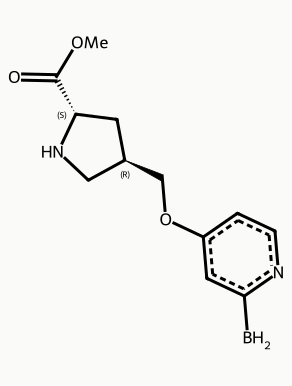 Bc1cc(OC[C@H]2CN[C@H](C(=O)OC)C2)ccn1